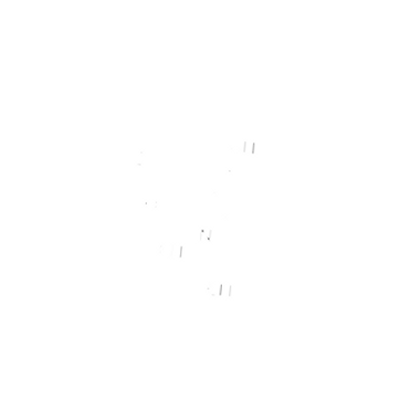 C#CN1CCC2C1CCCC2(O)c1ccccc1.CCOC=O